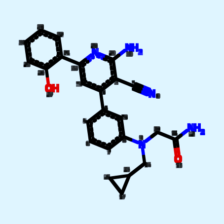 N#Cc1c(-c2cccc(N(CC(N)=O)CC3CC3)c2)cc(-c2ccccc2O)nc1N